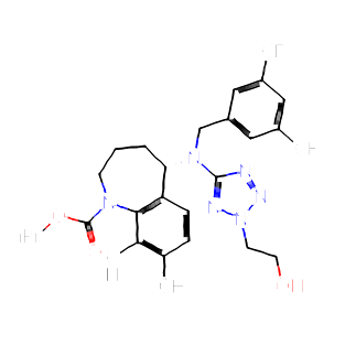 Cc1ccc2c(c1C)N(C(=O)OC(C)C)CCC[C@@H]2N(Cc1cc(C(F)(F)F)cc(C(F)(F)F)c1)c1nnn(CCO)n1